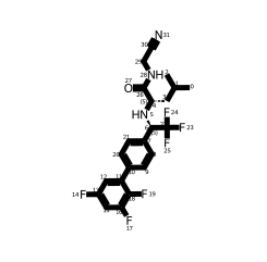 CC(C)C[C@H](N[C@@H](c1ccc(-c2cc(F)cc(F)c2F)cc1)C(F)(F)F)C(=O)NCC#N